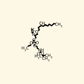 C=CCOP(=O)(OCCNC(=O)OC(C)(C)C)OCC(COCC[C@H](C)CCCCCCC)N=[N+]=[N-]